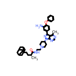 Cc1ncnc2c1c(-c1ccc(Oc3ccccc3)c(N)c1)nn2C1CCN(CCNC(=O)[C@H](C)CCC23CC4CC(CC(C4)C2)C3)CC1